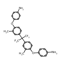 Cc1cc(C(c2ccc(Oc3ccc(N)cc3)c(C)c2)(C(F)(F)F)C(F)(F)F)ccc1Oc1ccc(N)cc1